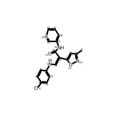 Cc1cc(/C(=C/Nc2ccc(Cl)cc2)C(=O)Nc2cccnc2)on1